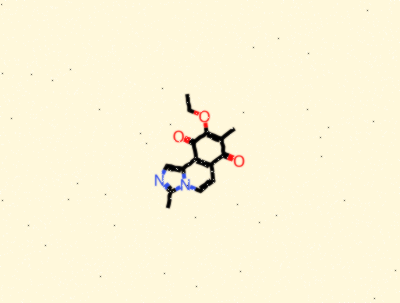 CCOC1=C(C)C(=O)c2ccn3c(C)ncc3c2C1=O